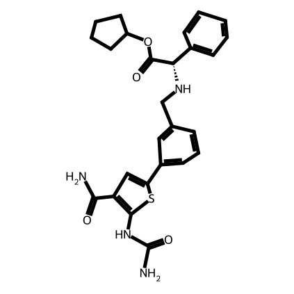 NC(=O)Nc1sc(-c2cccc(CN[C@H](C(=O)OC3CCCC3)c3ccccc3)c2)cc1C(N)=O